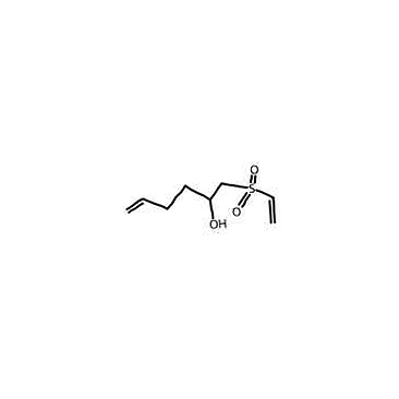 C=CCCC(O)CS(=O)(=O)C=C